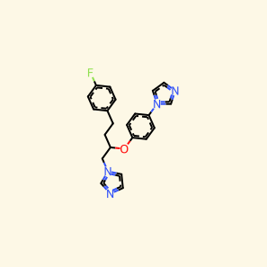 Fc1ccc(CCC(Cn2ccnc2)Oc2ccc(-n3ccnc3)cc2)cc1